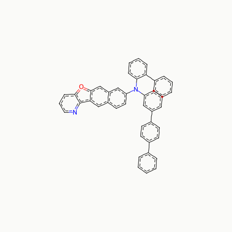 c1ccc(-c2ccc(-c3cccc(N(c4ccc5cc6c(cc5c4)oc4cccnc46)c4ccccc4-c4ccccc4)c3)cc2)cc1